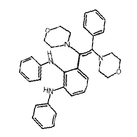 c1ccc(Nc2cccc(C(=C(c3ccccc3)N3CCOCC3)N3CCOCC3)c2Nc2ccccc2)cc1